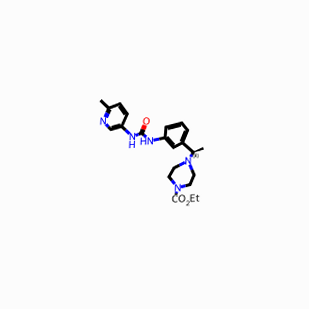 CCOC(=O)N1CCN([C@H](C)c2cccc(NC(=O)Nc3ccc(C)nc3)c2)CC1